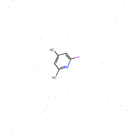 N#Cc1cc(I)nc(C#N)c1